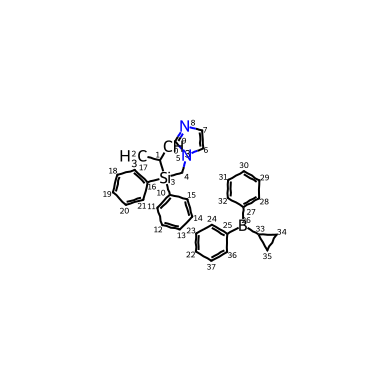 CC(C)[Si](Cn1ccnc1)(c1ccccc1)c1ccccc1.c1ccc(B(c2ccccc2)C2CC2)cc1